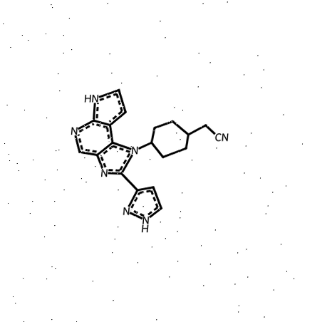 N#CCC1CCC(n2c(-c3cc[nH]n3)nc3cnc4[nH]ccc4c32)CC1